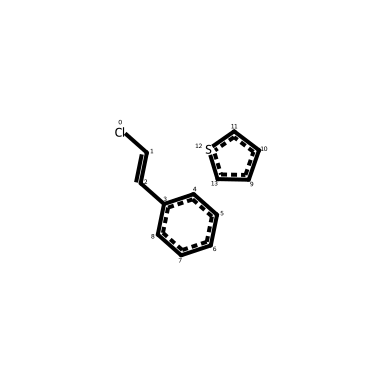 ClC=Cc1ccccc1.c1ccsc1